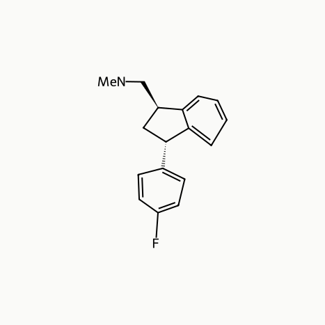 CNC[C@@H]1C[C@@H](c2ccc(F)cc2)c2ccccc21